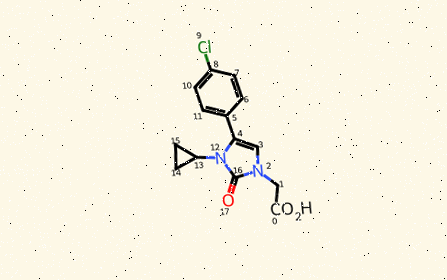 O=C(O)Cn1cc(-c2ccc(Cl)cc2)n(C2CC2)c1=O